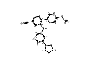 N#Cc1ccc(-c2ccc(CN)cn2)c(Sc2cnnc(N3CCCC3)c2)c1